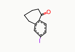 O=C1CCCCc2cc(I)ccc21